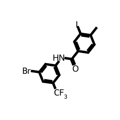 Cc1ccc(C(=O)Nc2cc(Br)cc(C(F)(F)F)c2)cc1I